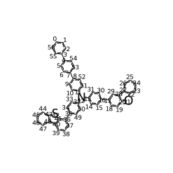 c1ccc(-c2ccc(-c3ccc(N(c4ccc(-c5ccc6oc7ccccc7c6c5)cc4)c4ccc(-c5cccc6c5sc5ccccc56)cc4)cc3)cc2)cc1